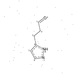 O=CCCc1ccn[nH]1